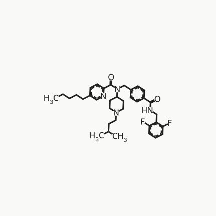 CCCCCc1ccc(C(=O)N(Cc2ccc(C(=O)NCc3c(F)cccc3F)cc2)C2CCN(CCC(C)C)CC2)nc1